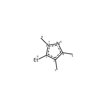 [CH2]Cc1c(C)c(C)nn1C